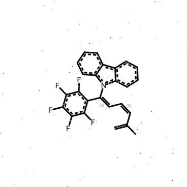 C=C(C)/C=C\C=C(\c1c(F)c(F)c(F)c(F)c1F)n1c2ccccc2c2ccccc21